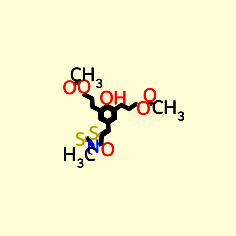 CC(=O)OCCCc1cc(/C=C2\SC(=S)N(C)C2=O)cc(CCCOC(C)=O)c1O